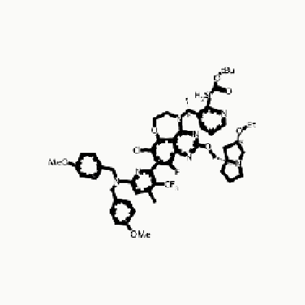 CCO[C@H]1CN2CCC[C@@]2(COc2nc3c4c(c(Cl)c(-c5nc(N(Cc6ccc(OC)cc6)Cc6ccc(OC)cc6)cc(C)c5C(F)(F)F)c(F)c4n2)OCCN3[C@H](C)c2cccnc2[SiH2]C(=O)OC(C)(C)C)C1